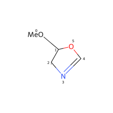 COC1[CH]N=CO1